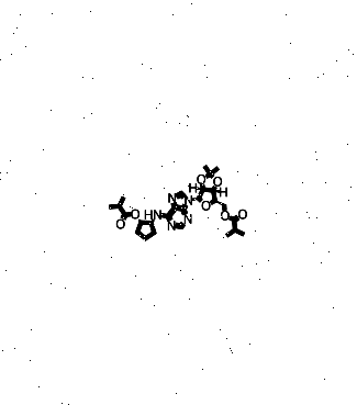 CC(C)C(=O)OC[C@H]1O[C@@H](n2cnc3c(N[C@H]4CCC[C@@H]4OC(=O)C(C)C)ncnc32)[C@@H]2OC(C)(C)O[C@@H]21